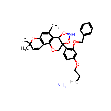 CCCOc1ccc(C23COc4c5c(cc(C)c4C2ONO3)OC(C)(C)C=C5)c(OCc2ccccc2)c1.N